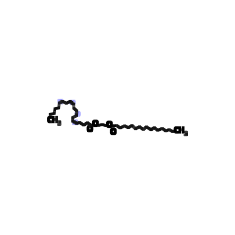 CCCCC/C=C\C/C=C\C/C=C\C/C=C\CCCC(=O)OCCCOC(=O)CCCCCCCCCCCCCCCCC